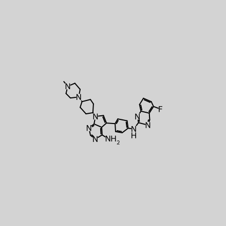 CN1CCN([C@H]2CC[C@H](n3cc(-c4ccc(Nc5ncc6c(F)cccc6n5)cc4)c4c(N)ncnc43)CC2)CC1